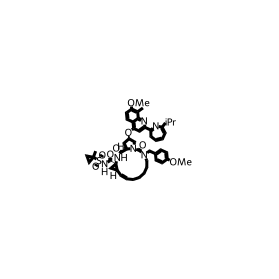 COc1ccc(CN2CCCCC/C=C\[C@@H]3C[C@@]3(C(=O)NS(=O)(=O)C3(C)CC3)NC(=O)[C@@H]3C[C@@H](Oc4cc(C5=NC(C(C)C)=CC=CC5)nc5c(C)c(OC)ccc45)CN3C2=O)cc1